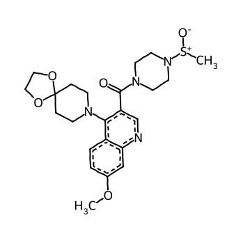 COc1ccc2c(N3CCC4(CC3)OCCO4)c(C(=O)N3CCN([S+](C)[O-])CC3)cnc2c1